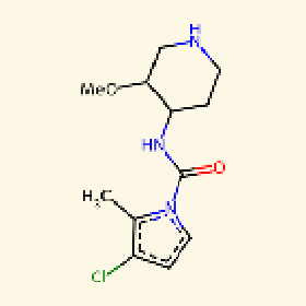 COC1CNCCC1NC(=O)n1ccc(Cl)c1C